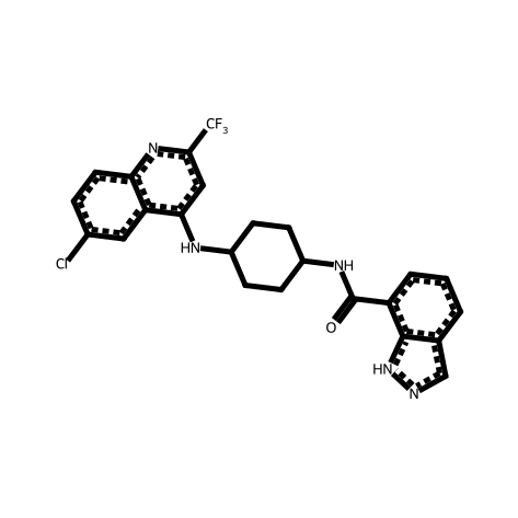 O=C(NC1CCC(Nc2cc(C(F)(F)F)nc3ccc(Cl)cc23)CC1)c1cccc2cn[nH]c12